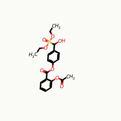 CCOP(=O)(OCC)C(O)c1ccc(OC(=O)c2ccccc2OC(C)=O)cc1